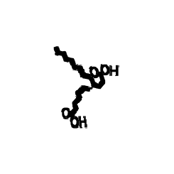 CCCCCC/C=C/C1O[C@H](O)CC[C@@H]1C/C=C\CCCC(=O)O